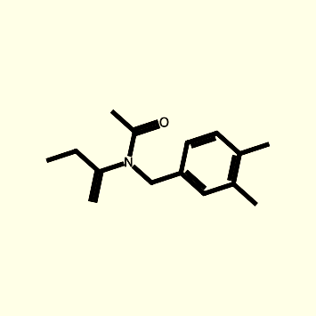 C=C(CC)N(Cc1ccc(C)c(C)c1)C(C)=O